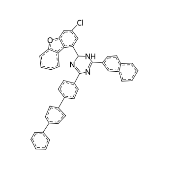 Clc1cc(C2N=C(c3ccc(-c4ccc(-c5ccccc5)cc4)cc3)N=C(c3ccc4ccccc4c3)N2)c2c(c1)oc1ccccc12